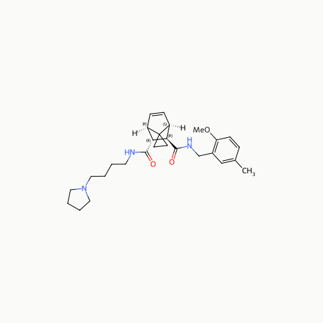 COc1ccc(C)cc1CNC(=O)[C@H]1[C@H](C(=O)NCCCCN2CCCC2)[C@H]2C=C[C@@H]1C21CC1